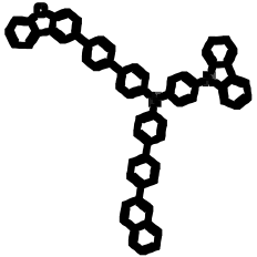 c1ccc2cc(-c3ccc(-c4ccc(N(c5ccc(-c6ccc(-c7ccc8oc9ccccc9c8c7)cc6)cc5)c5ccc(-n6c7ccccc7c7ccccc76)cc5)cc4)cc3)ccc2c1